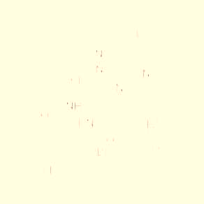 CC(NC(=O)c1cc(Cl)cc(Br)c1NC(=O)C1=C(O[SH](=O)=O)C=CN(C2=NNCC2c2ncccc2Cl)C1)C1CC1